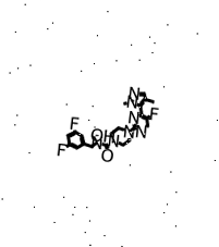 Cc1cnn(C)c1-c1nc(N2CCN(C(=O)N(O)Cc3cc(F)cc(F)c3)CC2)ncc1F